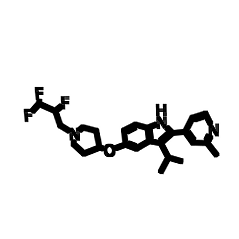 Cc1cc(-c2[nH]c3ccc(OC4CCN(CC(F)C(F)F)CC4)cc3c2C(C)C)ccn1